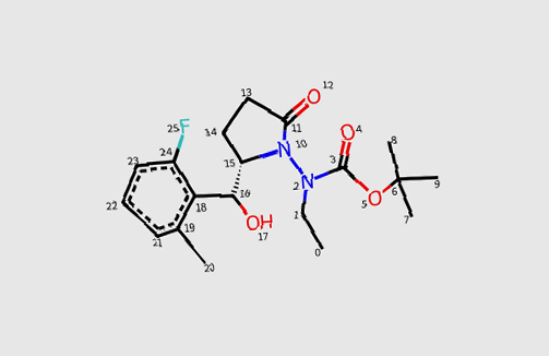 CCN(C(=O)OC(C)(C)C)N1C(=O)CC[C@H]1C(O)c1c(C)cccc1F